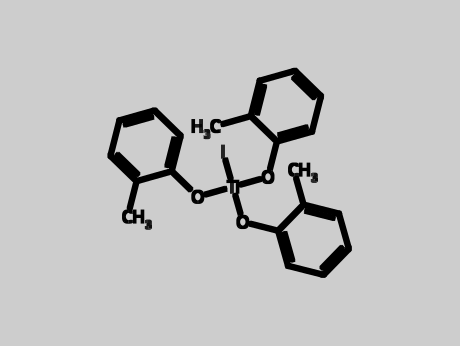 Cc1ccccc1[O][Ti]([I])([O]c1ccccc1C)[O]c1ccccc1C